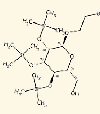 C[Si](C)(C)O[C@@H]1[C@H](O[Si](C)(C)C)[C@@H](OCCBr)O[C@H](CO)[C@H]1O[Si](C)(C)C